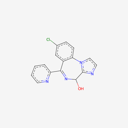 OC1N=C(c2ccccn2)c2cc(Cl)ccc2-n2ccnc21